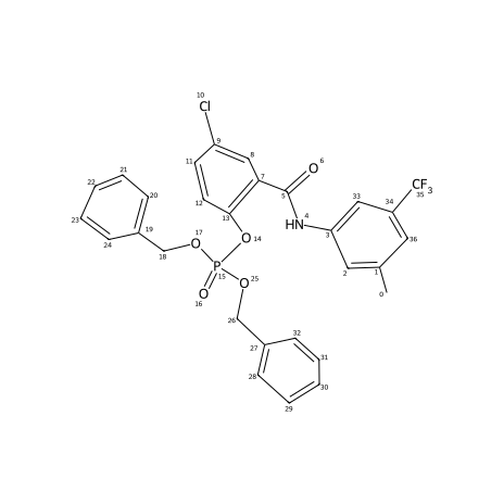 Cc1cc(NC(=O)c2cc(Cl)ccc2OP(=O)(OCc2ccccc2)OCc2ccccc2)cc(C(F)(F)F)c1